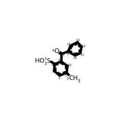 Cc1ccc(S(=O)(=O)O)c(C(=O)c2ccccc2)c1